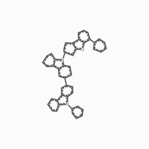 c1ccc(-c2cccc3c2oc2cc(-n4c5ccccc5c5cc(-c6ccc7c(c6)c6ccccc6n7-c6ccccc6)ccc54)ccc23)cc1